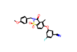 COc1ccc(CN2C(=O)c3c(ccc(Oc4cc(F)cc(C#N)c4)c3C)S2(=O)=O)cc1